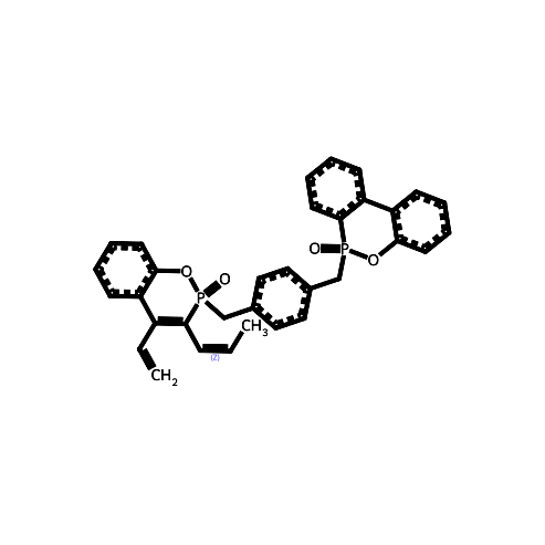 C=CC1=C(/C=C\C)P(=O)(Cc2ccc(CP3(=O)Oc4ccccc4-c4ccccc43)cc2)Oc2ccccc21